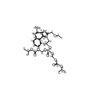 CCOCc1nc2c(N)nc3ccccc3c2n1CC(C)OP(=O)(OCOC(=O)OC(C)C)OCOC(=O)OC(C)C